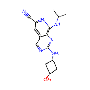 CC(C)Nc1nc(C#N)cc2cnc(N[C@H]3C[C@H](O)C3)nc12